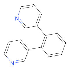 [c]1cccc(-c2cccnc2)c1-c1cccnc1